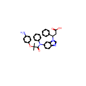 CC(C)(Oc1ccc(N)cc1)C(=O)N(c1ccccc1)c1ccc2ncn(C(CC(=O)O)c3ccccc3)c2c1